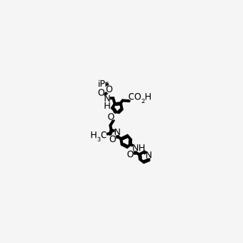 Cc1oc(-c2ccc(NC(=O)c3cccnc3)cc2)nc1CCOc1ccc(CCC(=O)O)c(CNC(=O)OC(C)C)c1